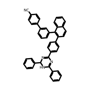 N#Cc1ccc(-c2cccc(-c3c(-c4ccc(C5=NC(c6ccccc6)NC(c6ccccc6)=N5)cc4)ccc4ccccc34)c2)cc1